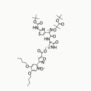 CCCCOc1cc(-c2cc(C(=O)OC[C@H]3NC(=O)[C@H]3NC(=O)/C(=N\OC(C)(C)C(=O)OC(C)(C)C)c3csc(NC(=O)OC(C)(C)C)n3)on2)[n+]([O-])cc1OCCCC